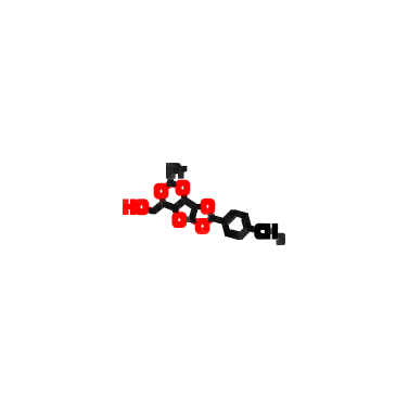 Cc1ccc(C2OC3OC4C(CO)OC(C(C)C)OC4C3O2)cc1